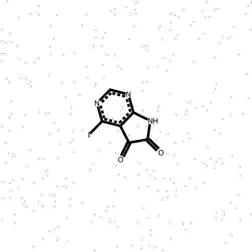 O=C1Nc2ncnc(I)c2C1=O